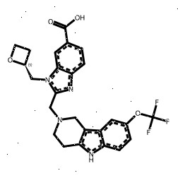 O=C(O)c1ccc2nc(CN3CCc4[nH]c5ccc(OC(F)(F)F)cc5c4C3)n(C[C@@H]3CCO3)c2c1